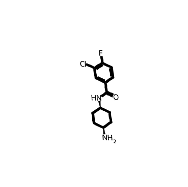 N[C@H]1CC[C@@H](NC(=O)c2ccc(F)c(Cl)c2)CC1